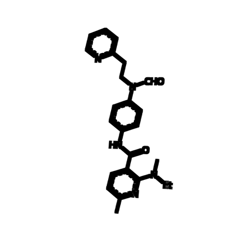 CCN(C)c1nc(C)ccc1C(=O)Nc1ccc(N(C=O)CCc2ccccn2)cc1